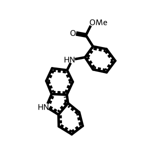 COC(=O)c1ccccc1Nc1ccc2[nH]c3ccccc3c2c1